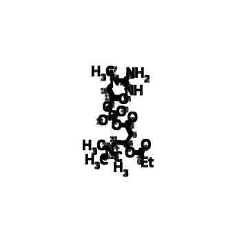 CCC(=O)O[C@H](CC(=O)OP(=O)([O-])OC(=O)CN(C)C(=N)N)C[N+](C)(C)C